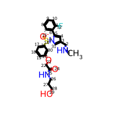 CNCc1cc(-c2ccccc2F)n([S+]([O-])c2cccc(OCC(=O)NCCCO)c2)c1